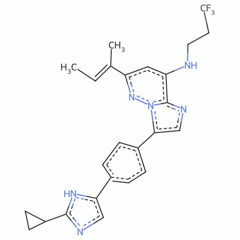 CC=C(C)c1cc(NCCC(F)(F)F)c2ncc(-c3ccc(-c4cnc(C5CC5)[nH]4)cc3)n2n1